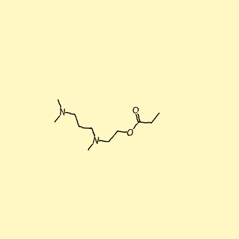 CCC(=O)OCCN(C)CCCN(C)C